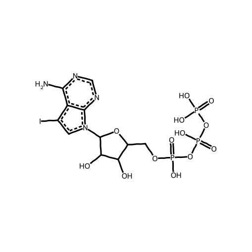 Nc1ncnc2c1c(I)cn2C1OC(COP(=O)(O)OP(=O)(O)OP(=O)(O)O)C(O)C1O